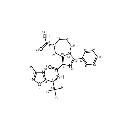 Cc1noc([C@@H](NC(=O)c2nc(-c3ccccc3)n3c2CN(C(=O)O)CCC3)C(C)(C)C)n1